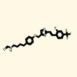 O=CNCCCCc1ccc(OCc2coc(C=Cc3ccc(C(F)(F)F)cc3F)n2)cc1